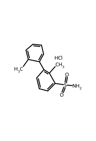 Cc1ccccc1-c1cccc(S(N)(=O)=O)c1C.Cl